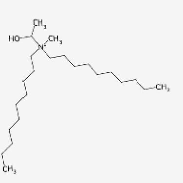 CCCCCCCCCC[N+](C)(CCCCCCCCCC)C(C)O